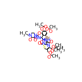 CCN1CCN(C(=O)NC(C(=O)N[C@@H]2C(=O)N3C(C(=O)OC(C)(C)C)=C(COC(C)=O)CSC23NC=O)c2cc(OC(C)=O)c(OC(C)=O)cc2Br)C(=O)C1=O